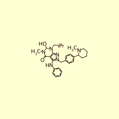 CC(C)CN1c2nn(Cc3ccc(C4CCCCN4C)cc3)c(Nc3ccccc3)c2C(=O)N(C)C1O